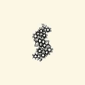 CCC(C)(C)c1ccccc1-n1c2ccccc2c2c(N(c3cccc4c3CCCC4)c3cc(C(C)C)c4ccc5c(N(c6cccc7c6CCCC7)c6cccc7c6c6ccccc6n7-c6ccccc6C(C)(C)CC)cc(C(C)C)c6ccc3c4c65)cccc21